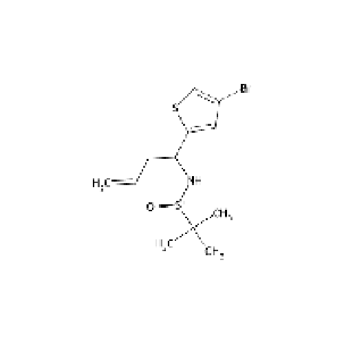 C=CCC(N[S@+]([O-])C(C)(C)C)c1cc(Br)cs1